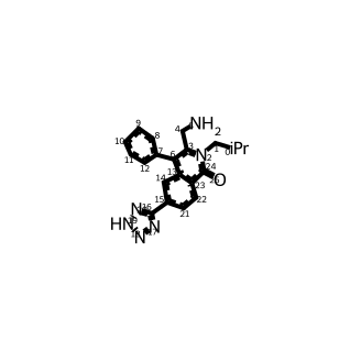 CC(C)Cn1c(CN)c(-c2ccccc2)c2cc(-c3nn[nH]n3)ccc2c1=O